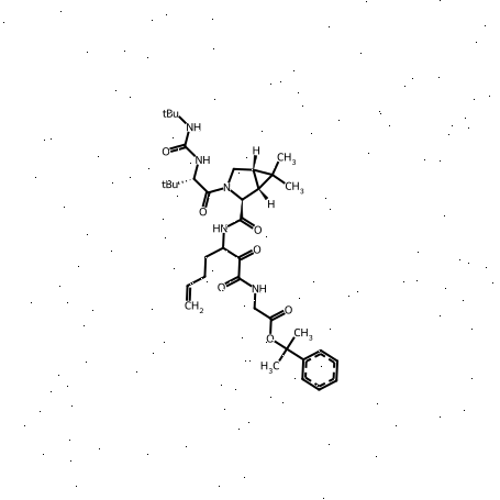 C=CCCC(NC(=O)[C@@H]1[C@@H]2[C@H](CN1C(=O)[C@@H](NC(=O)NC(C)(C)C)C(C)(C)C)C2(C)C)C(=O)C(=O)NCC(=O)OC(C)(C)c1ccccc1